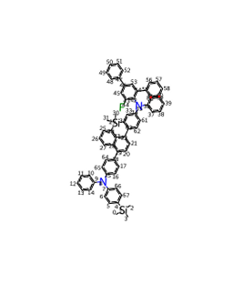 C[Si](C)(C)c1ccc(N(c2ccccc2)c2ccc(-c3ccc4c5c(cccc35)[Si](C)(C)c3cc(N(c5ccccc5)c5c(F)cc(-c6ccccc6)cc5-c5ccccc5)ccc3-4)cc2)cc1